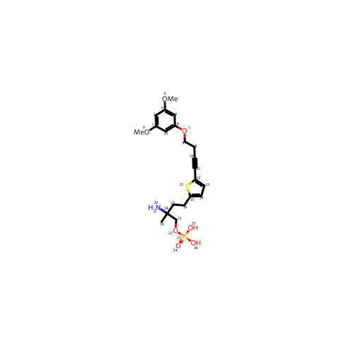 COc1cc(OC)cc(OCCC#Cc2ccc(CCC(C)(N)COP(=O)(O)O)s2)c1